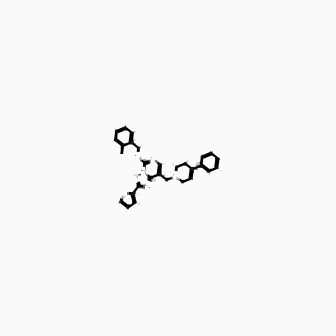 Cc1ccccc1CNc1ncc(CN2CC=C(c3ccccc3)CC2)c2nc(-c3ccco3)nn12